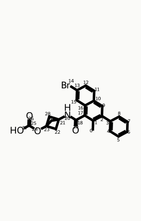 Cc1c(-c2ccccc2)cc2ccc(Br)cc2c1C(=O)NC12CC(OC(=O)O)(C1)C2